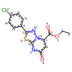 CCOC(=O)c1cc(=O)nc2sc(-c3ccc(Cl)cc3)nn12